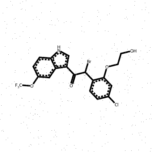 O=C(c1c[nH]c2ccc(OC(F)(F)F)cc12)C(Br)c1ccc(Cl)cc1OCCO